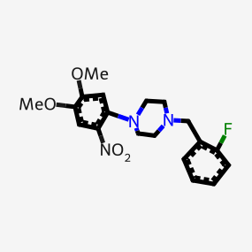 COc1cc(N2CCN(Cc3ccccc3F)CC2)c([N+](=O)[O-])cc1OC